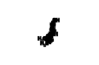 Cc1nc2c(F)cc(-c3nc(Nc4ccc5c(n4)CCN(C4CCN(CCO)CC4)C5)ncc3F)cc2n1CC(C)C